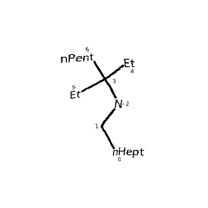 CCCCCCCC[N]C(CC)(CC)CCCCC